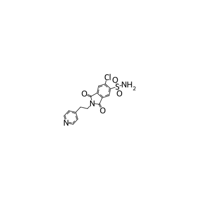 NS(=O)(=O)c1cc2c(cc1Cl)C(=O)N(CCc1ccncc1)C2=O